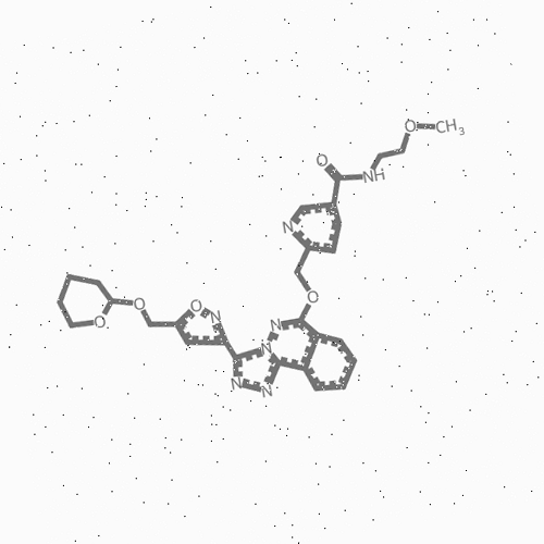 COCCNC(=O)c1ccc(COc2nn3c(-c4cc(COC5CCCCO5)on4)nnc3c3ccccc23)nc1